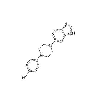 Brc1ccc(N2CCN(c3ccc4nc[nH]c4c3)CC2)cc1